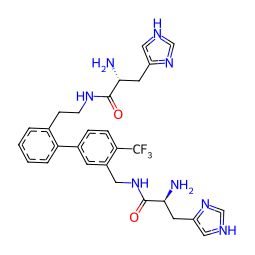 N[C@H](Cc1c[nH]cn1)C(=O)NCCc1ccccc1-c1ccc(C(F)(F)F)c(CNC(=O)[C@@H](N)Cc2c[nH]cn2)c1